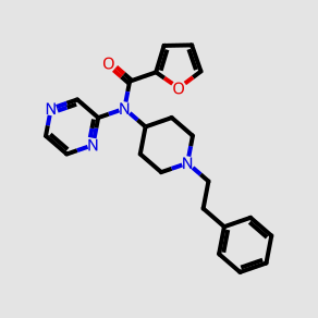 O=C(c1ccco1)N(c1cnccn1)C1CCN(CCc2ccccc2)CC1